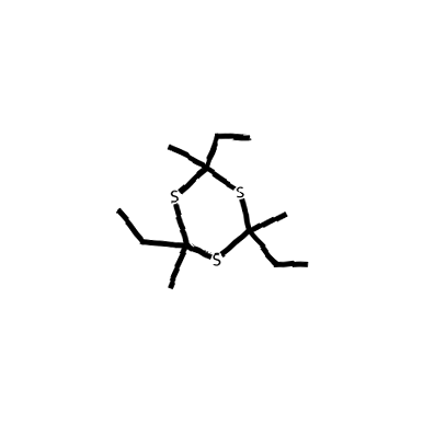 CCC1(C)SC(C)(CC)SC(C)(CC)S1